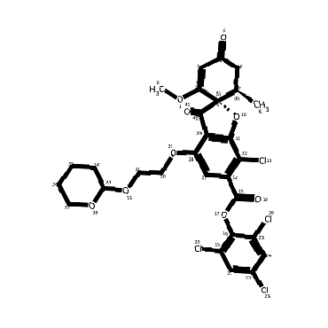 COC1=CC(=O)C[C@@H](C)[C@]12Oc1c(Cl)c(C(=O)Oc3c(Cl)cc(Cl)cc3Cl)cc(OCCOC3CCCCO3)c1C2=O